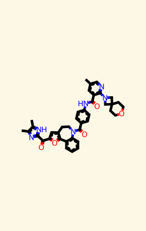 Cc1cnc(N2CC3(CCOCC3)C2)c(C(=O)Nc2ccc(C(=O)N3CCc4cc(C(=O)c5nc(C)c(C)[nH]5)oc4-c4ccccc43)cc2)c1